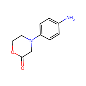 Nc1ccc(N2CCOC(=O)C2)cc1